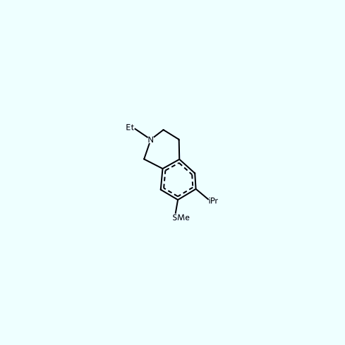 CCN1CCc2cc(C(C)C)c(SC)cc2C1